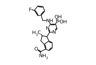 CC1Cc2c(C(N)=O)cccc2C1c1ncc(B(O)O)c(NCc2cccc(F)c2)n1